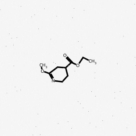 CCOC(=O)C1CCN=C(OC)C1